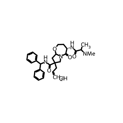 C=CCC1(C(=O)NC(c2ccccc2)c2ccccc2)CC2OCC[C@H](NC(=O)C(C)NC)C(=O)N2C1.Cl